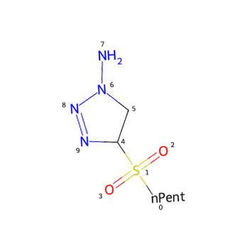 CCCCCS(=O)(=O)C1CN(N)N=N1